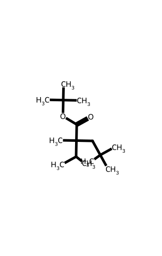 CC(C)C(C)(CC(C)(C)C)C(=O)OC(C)(C)C